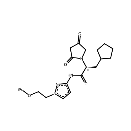 CC(C)OCCn1ccc(NC(=O)[C@H](CC2CCCC2)N2CC(=O)CC2=O)n1